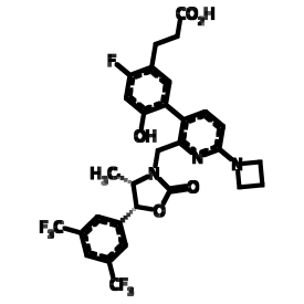 C[C@H]1[C@@H](c2cc(C(F)(F)F)cc(C(F)(F)F)c2)OC(=O)N1Cc1nc(N2CCC2)ccc1-c1cc(CCC(=O)O)c(F)cc1O